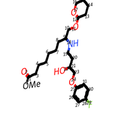 COC(=O)CCCCCCC(COC1CCCCO1)NCCC(O)COc1ccc(F)cc1